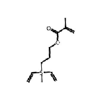 C=C[Si](C)(C=C)CCCOC(=O)C(=C)C